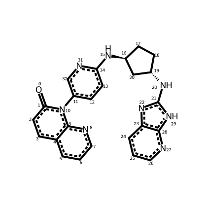 O=c1ccc2cccnc2n1-c1ccc(N[C@H]2CC[C@H](Nc3nc4cccnc4[nH]3)C2)nc1